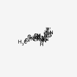 COCC(=O)NCC(C)(C)n1cc(Nc2nccc(N3CC[C@@](C#N)(C4CC4)C3=O)n2)cn1